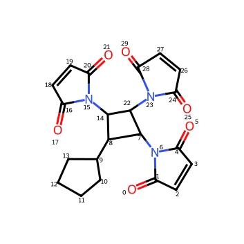 O=C1C=CC(=O)N1C1C(C2CCCC2)C(N2C(=O)C=CC2=O)C1N1C(=O)C=CC1=O